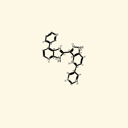 c1cncc(-c2ccnc3[nH]c(-c4n[nH]c5ccc(-c6cncnc6)nc45)nc23)c1